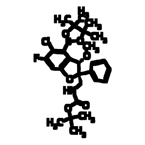 CO[C@H]1c2c(cc(F)c(Cl)c2B2OC(C)(C)C(C)(C)O2)O[C@]1(CNC(=O)OC(C)(C)C)c1ccccc1